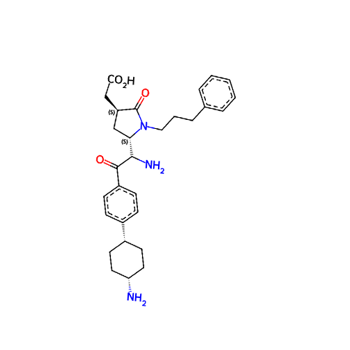 NC(C(=O)c1ccc([C@H]2CC[C@@H](N)CC2)cc1)[C@@H]1C[C@@H](CC(=O)O)C(=O)N1CCCc1ccccc1